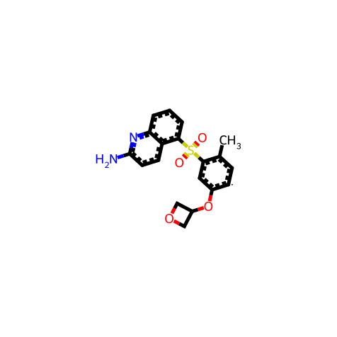 Cc1c[c]c(OC2COC2)cc1S(=O)(=O)c1cccc2nc(N)ccc12